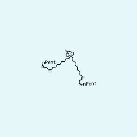 CCCCC/C=C\C/C=C\CCCCCCCCC1(CCCCCCCC/C=C\C/C=C\CCCCC)OC[C@H](C)O1